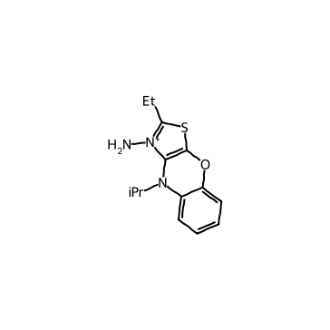 CCc1sc2c([n+]1N)N(C(C)C)c1ccccc1O2